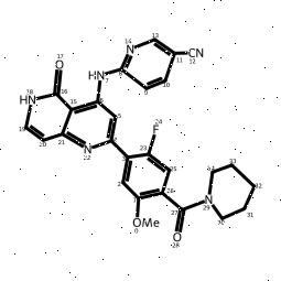 COc1cc(-c2cc(Nc3ccc(C#N)cn3)c3c(=O)[nH]ccc3n2)c(F)cc1C(=O)N1CCCCC1